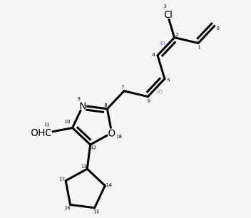 C=C/C(Cl)=C\C=C/Cc1nc(C=O)c(C2CCCC2)o1